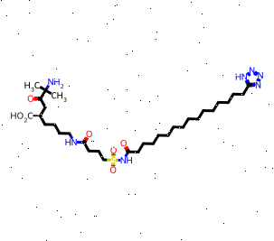 CC(C)(N)C(=O)C[C@@H](CCCCNC(=O)CCCS(=O)(=O)NC(=O)CCCCCCCCCCCCCCCc1nnn[nH]1)C(=O)O